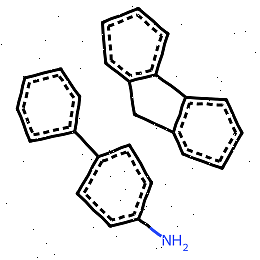 Nc1ccc(-c2ccccc2)cc1.c1ccc2c(c1)Cc1ccccc1-2